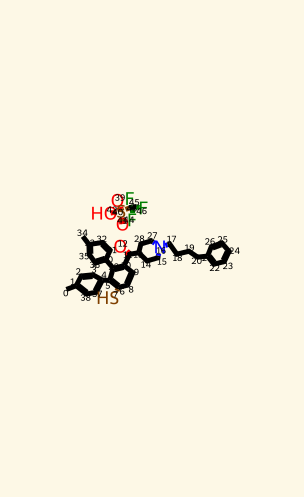 Cc1ccc(-c2c(S)ccc(C(=O)C3CCN(CCCCc4ccccc4)CC3)c2-c2ccc(C)cc2)cc1.O=S(=O)(O)C(F)(F)F